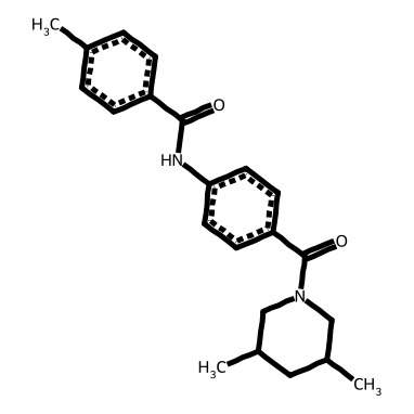 Cc1ccc(C(=O)Nc2ccc(C(=O)N3CC(C)CC(C)C3)cc2)cc1